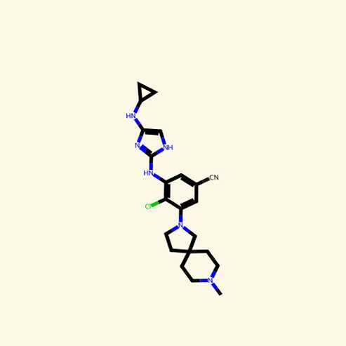 CN1CCC2(CC1)CCN(c1cc(C#N)cc(Nc3nc(NC4CC4)c[nH]3)c1Cl)C2